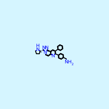 NCc1ccc(-c2nc3ccn4c([C@@H]5CCCN5)nnc4c3cc2-c2ccccc2)cc1